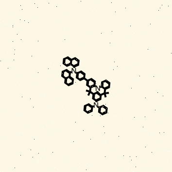 CC1(C)c2ccccc2N2c3ccc(-c4ccc(N(c5cccc6ccccc56)c5cccc6ccccc56)cc4)cc3C(C)(C)c3cc(N(c4ccccc4)c4ccccc4)cc1c32